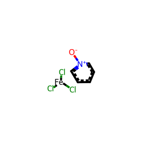 [Cl][Fe]([Cl])[Cl].[O-][n+]1ccccc1